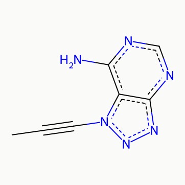 CC#Cn1nnc2ncnc(N)c21